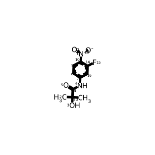 CC(C)(O)C(=O)Nc1ccc([N+](=O)[O-])c(F)c1